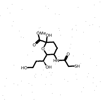 COC(=O)C1(O)CCC(NC(=O)CS)C([C@@H](O)CCO)O1